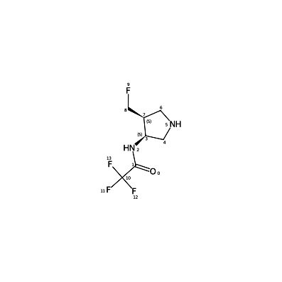 O=C(N[C@@H]1CNC[C@@H]1CF)C(F)(F)F